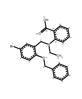 CCN(Cc1cc(Br)ccc1OCc1ccccc1)c1ccccc1C(=O)O